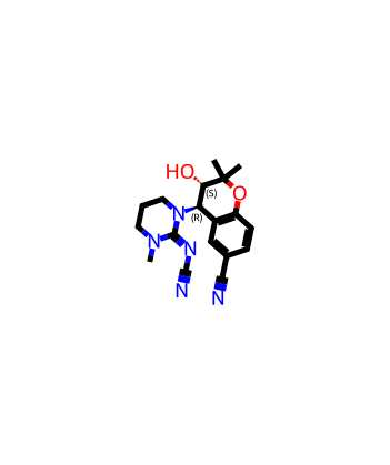 CN1CCCN([C@@H]2c3cc(C#N)ccc3OC(C)(C)[C@H]2O)C1=NC#N